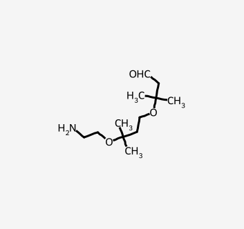 CC(C)(CC=O)OCCC(C)(C)OCCN